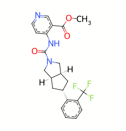 COC(=O)c1cnccc1NC(=O)N1C[C@H]2C[C@H](c3ccccc3C(F)(F)F)C[C@H]2C1